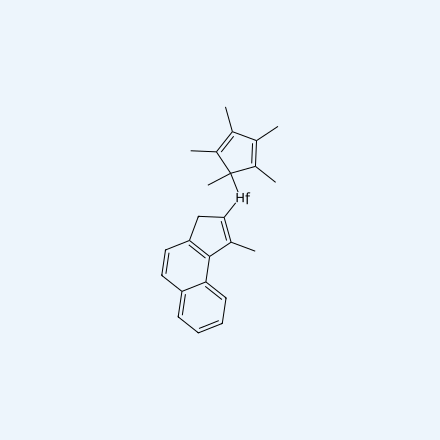 CC1=C(C)[C](C)([Hf][C]2=C(C)c3c(ccc4ccccc34)C2)C(C)=C1C